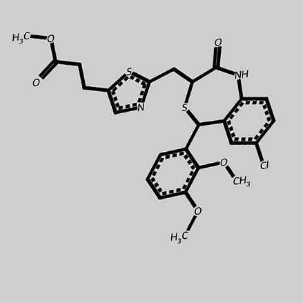 COC(=O)CCc1cnc(CC2SC(c3cccc(OC)c3OC)c3cc(Cl)ccc3NC2=O)s1